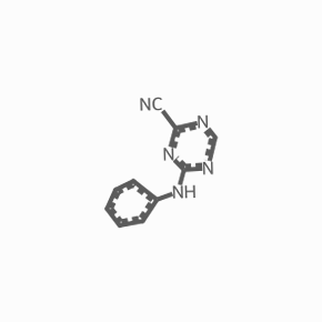 N#Cc1ncnc(Nc2ccccc2)n1